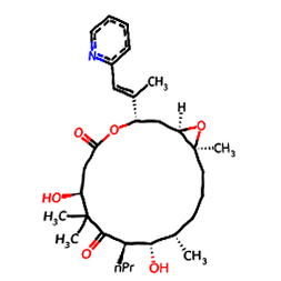 CCC[C@H]1C(=O)C(C)(C)[C@@H](O)CC(=O)O[C@H](C(C)=Cc2ccccn2)C[C@H]2O[C@@]2(C)CCC[C@H](C)[C@@H]1O